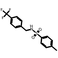 Cc1ccc(S(=O)(=O)NCc2ccc(C(F)(F)F)cc2)cc1